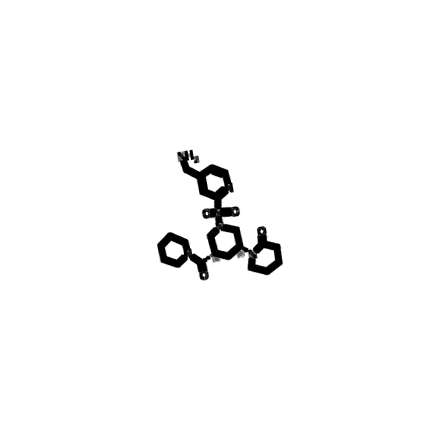 NCc1ccnc(S(=O)(=O)N2C[C@@H](C(=O)N3CCCCC3)C[C@@H](N3CCCCC3=O)C2)c1